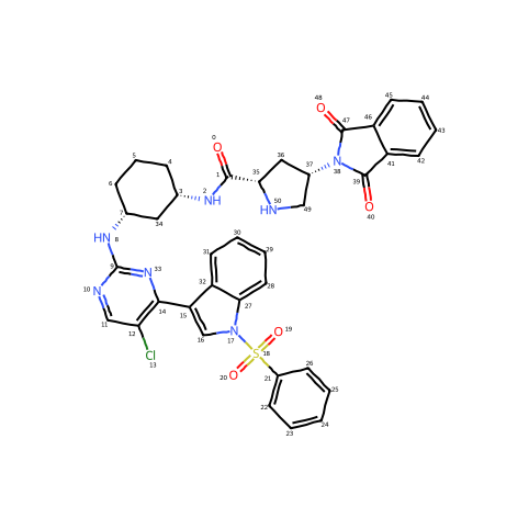 O=C(N[C@H]1CCC[C@@H](Nc2ncc(Cl)c(-c3cn(S(=O)(=O)c4ccccc4)c4ccccc34)n2)C1)[C@@H]1C[C@H](N2C(=O)c3ccccc3C2=O)CN1